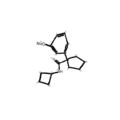 COc1cccc(C2(C(=O)NC3CCC3)CCCC2)c1